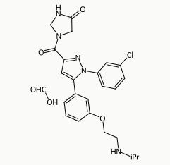 CC(C)NCCOc1cccc(-c2cc(C(=O)N3CNC(=O)C3)nn2-c2cccc(Cl)c2)c1.O=CO